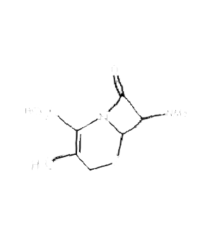 CNC1C(=O)N2C(C(=O)O)=C(C)CSC12